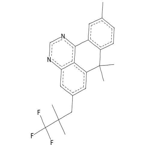 Cc1ccc2c(c1)-c1ncnc3cc(CC(C)(C)C(F)(F)F)cc(c13)C2(C)C